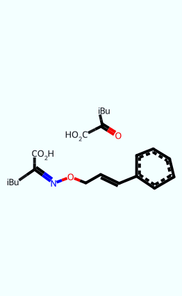 CCC(C)/C(=N/OC/C=C/c1ccccc1)C(=O)O.CCC(C)C(=O)C(=O)O